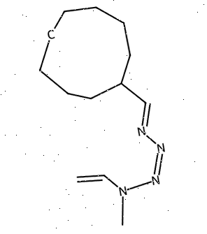 C=CN(C)/N=N\N=C\C1CCCCCCCC1